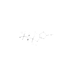 CC(C)(CN1CCC(O)C1)S(=O)(=O)C1(C)CC1